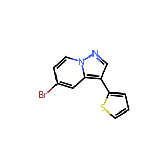 Brc1ccn2ncc(-c3cccs3)c2c1